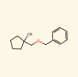 N#CC1(COCc2ccccc2)CCCC1